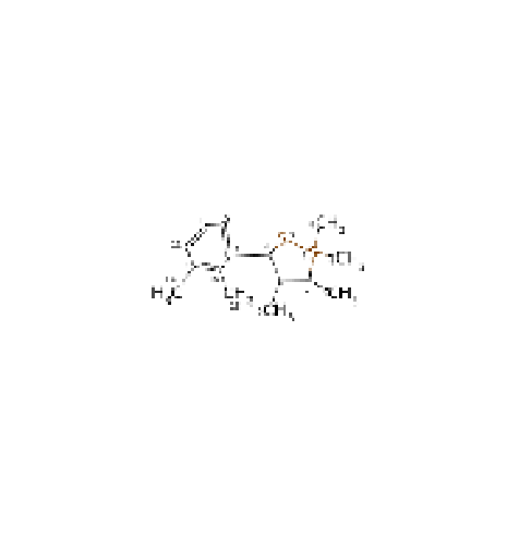 CC1=C(C)S(C)(C)SC1c1cccc(C)c1C